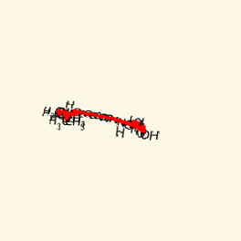 CC(C)(C)OC(=O)/N=C(/NCc1ccc(OCCOCCOCCOCCOCCOCCOCCNCCCNCCCOc2c(I)cc(Oc3c(I)cc(CC(=O)O)cc3I)cc2I)cc1)NC(=O)OC(C)(C)C